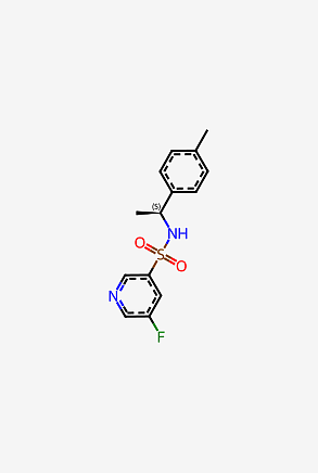 Cc1ccc([C@H](C)NS(=O)(=O)c2cncc(F)c2)cc1